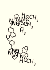 COC(=O)NC(C(=O)N1CCC[C@H]1c1ncc(-c2ccc3c(c2)COc2c-3ccc3cc(-c4cnc([C@@H]5CCCN5C(=O)[C@@H](NC(=O)OC)C(C)C)[nH]4)ccc23)[nH]1)C1CCOCC1